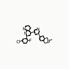 CN1CCc2ccc(-c3cncc(-c4cc(-c5cc(Cl)ccc5F)nc5ncccc45)c3)cc2C1